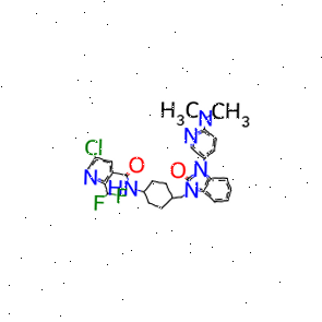 CN(C)c1ccc(-n2c(=O)n(CC3CCC(NC(=O)c4cc(Cl)cnc4C(F)F)CC3)c3ccccc32)cn1